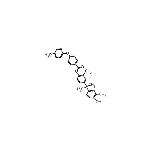 Cc1ccc(Oc2ccc(C(=O)Oc3ccc(C(C)(C)c4ccc(O)c(C)c4)cc3C)cc2)cc1